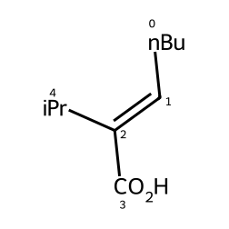 CCCC/C=C(/C(=O)O)C(C)C